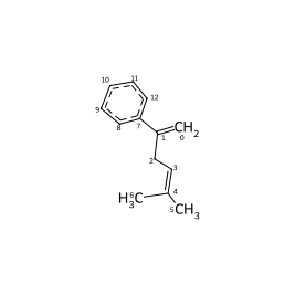 C=C(CC=C(C)C)c1ccccc1